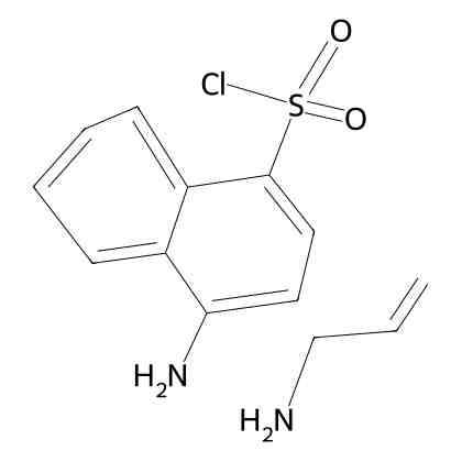 C=CCN.Nc1ccc(S(=O)(=O)Cl)c2ccccc12